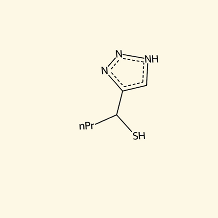 [CH2]CCC(S)c1c[nH]nn1